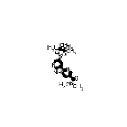 CN(C)C(=O)c1ccc(-c2cc(B3OC(C)(C)C(C)(C)O3)cnc2N)nc1